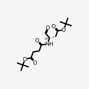 CC(C)(C)OC(=O)CCC(=O)N[C@H]([C]=O)CC(=O)OC(C)(C)C